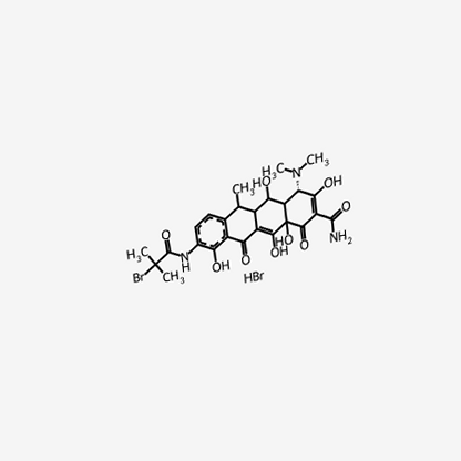 Br.CC1c2ccc(NC(=O)C(C)(C)Br)c(O)c2C(=O)C2=C(O)C3(O)C(=O)C(C(N)=O)=C(O)[C@@H](N(C)C)C3C(O)C21